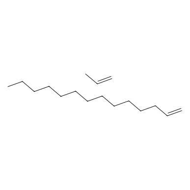 C=CC.C=CCCCCCCCCCCCC